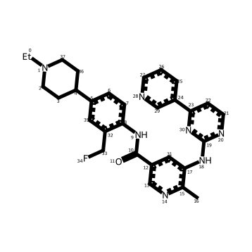 CCN1CCC(c2ccc(NC(=O)c3cnc(C)c(Nc4nccc(-c5cccnc5)n4)c3)c(CF)c2)CC1